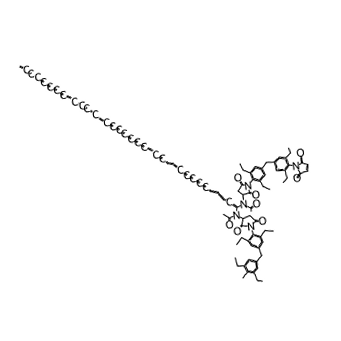 C=C=C=C=C=C=C=C=C=C=C=C=C=C=C=C=C=C=C=C=C=C=C=C=C=C=C=C=C=C=C=C=C=C=C=C(N(C(C)=O)C1CC(=O)N(c2c(CC)cc(Cc3cc(CC)c(C)c(CC)c3)cc2CC)C1=O)N(C(C)=O)C1CC(=O)N(c2c(CC)cc(Cc3cc(CC)c(N4C(=O)C=CC4=O)c(CC)c3)cc2CC)C1=O